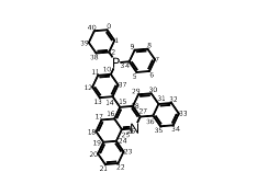 C1=CC(P(c2ccccc2)c2cccc(-c3c4ccc5ccccc5c4nc4c3ccc3ccccc34)c2)=CCC1